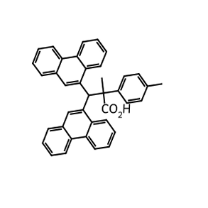 Cc1ccc(C(C)(C(=O)O)C(c2cc3ccccc3c3ccccc23)c2cc3ccccc3c3ccccc23)cc1